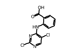 O=C(O)c1ccccc1Nc1nc(Cl)ncc1Cl